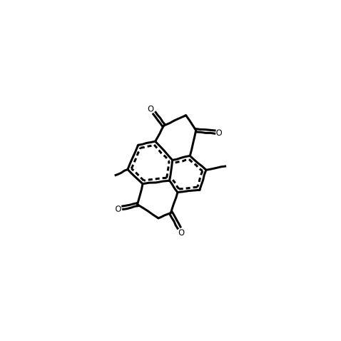 Cc1cc2c3c(c(C)cc4c3c1C(=O)CC4=O)C(=O)CC2=O